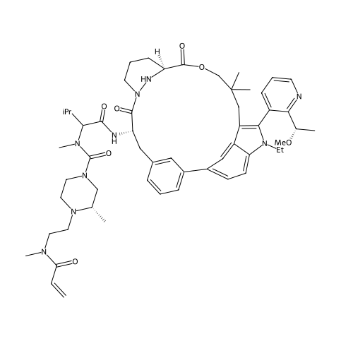 C=CC(=O)N(C)CCN1CCN(C(=O)N(C)C(C(=O)N[C@H]2Cc3cccc(c3)-c3ccc4c(c3)c(c(-c3cccnc3[C@H](C)OC)n4CC)CC(C)(C)COC(=O)[C@@H]3CCCN(N3)C2=O)C(C)C)C[C@@H]1C